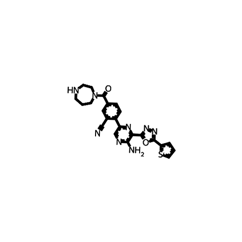 N#Cc1cc(C(=O)N2CCCNCC2)ccc1-c1cnc(N)c(-c2nnc(-c3cccs3)o2)n1